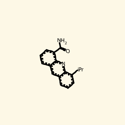 CC(C)c1cccc2cc3cccc(C(N)=O)c3nc12